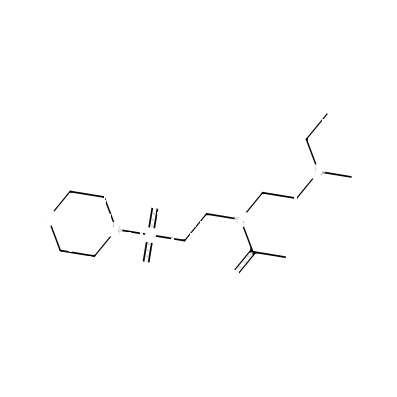 CCN(C)CCN(CCS(=O)(=O)N1CCOCC1)C(C)=O